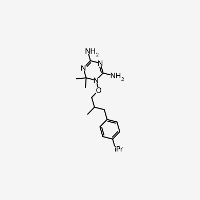 CC(CON1C(N)=NC(N)=NC1(C)C)Cc1ccc(C(C)C)cc1